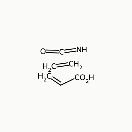 C=C.C=CC(=O)O.N=C=O